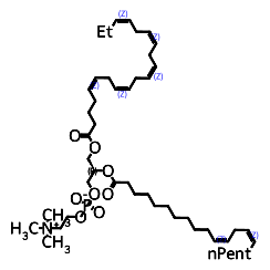 CC/C=C\C/C=C\C/C=C\C/C=C\C/C=C\CCCC(=O)OC[C@H](COP(=O)([O-])OCC[N+](C)(C)C)OC(=O)CCCCCCCCC/C=C\C/C=C\CCCCC